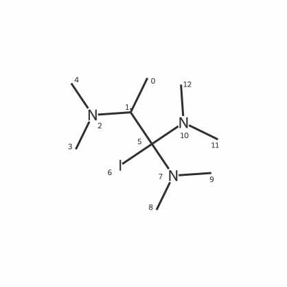 C[C](N(C)C)C(I)(N(C)C)N(C)C